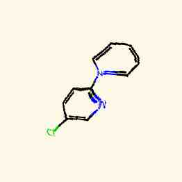 Clc1ccc(-[n+]2ccccc2)nc1